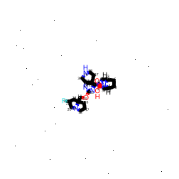 O=C(O)N1[C@@H]2CC[C@H]1CN(c1nc(OCC34CCCN3CC(F)C4)nc3c1CCNC3)C2